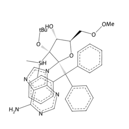 COOC[C@H]1O[C@](n2cnc3c(N)ncnc32)(C(c2ccccc2)(c2ccccc2)c2ccccc2)[C@@](OC(C)(C)C)([SiH](C)C)[C@@H]1O